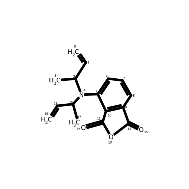 C=CC(C)N(c1cccc2c1C(=O)OC2=O)C(C)C=C